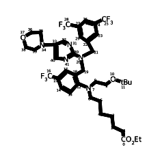 CCOC(=O)CCCCCCN(CCOC(C)(C)C)c1ccc(C(F)(F)F)cc1CN(Cc1cc(C(F)(F)F)cc(C(F)(F)F)c1)c1ncc(N2CCOCC2)cn1